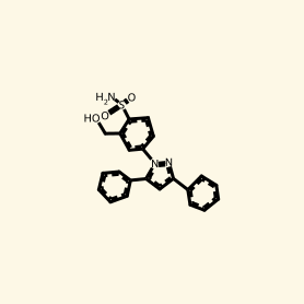 NS(=O)(=O)c1ccc(-n2nc(-c3ccccc3)cc2-c2ccccc2)cc1CO